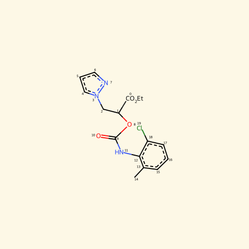 CCOC(=O)C(Cn1cccn1)OC(=O)Nc1c(C)cccc1Cl